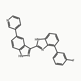 Fc1cccc(-c2cccc3[nH]c(-c4n[nH]c5ccc(-c6cccnc6)cc45)nc23)c1